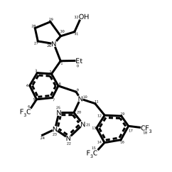 CCC(c1ccc(C(F)(F)F)cc1CN(Cc1cc(C(F)(F)F)cc(C(F)(F)F)c1)c1nnn(C)n1)N1CCCC1CO